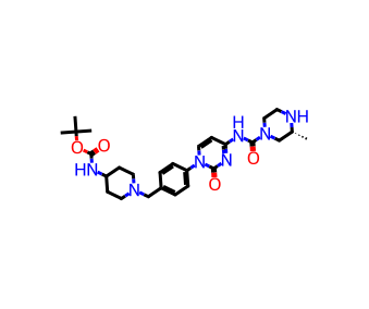 C[C@@H]1CN(C(=O)Nc2ccn(-c3ccc(CN4CCC(NC(=O)OC(C)(C)C)CC4)cc3)c(=O)n2)CCN1